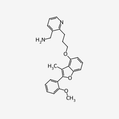 COc1ccccc1-c1oc2cccc(OCCCc3ncccc3CN)c2c1C